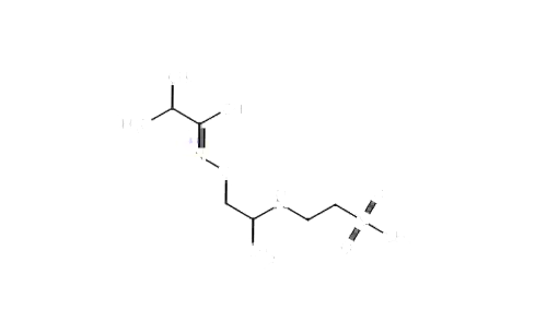 C/C(=N\OCC(C)NCCS(C)(=O)=O)C(C)C